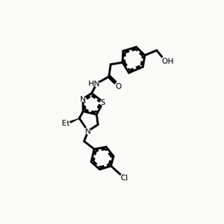 CC[C@H]1c2nc(NC(=O)Cc3ccc(CO)cc3)sc2CN1Cc1ccc(Cl)cc1